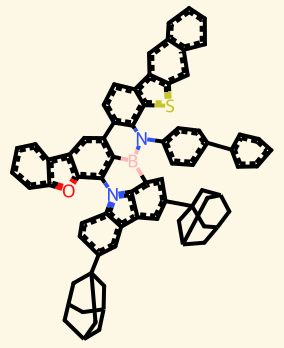 c1ccc(-c2ccc(N3B4c5c(cc6c(oc7ccccc76)c5-n5c6ccc(C78CC9CC(CC(C9)C7)C8)cc6c6cc(C78CC9CC(CC(C9)C7)C8)cc4c65)-c4ccc5c(sc6cc7ccccc7cc65)c43)cc2)cc1